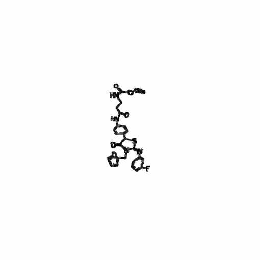 CC(C)(C)OC(=O)NCCC(=O)Nc1ccc(C2SC(=Nc3cccc(F)c3)N(Cc3ccco3)C2=O)cc1